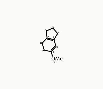 COC1=CC2=C(CCC2)CC1